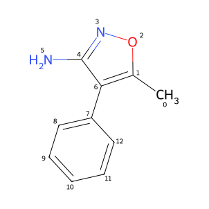 Cc1onc(N)c1-c1ccccc1